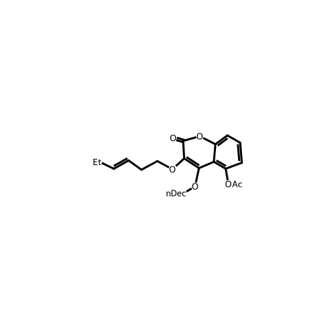 CCC=CCCOc1c(OCCCCCCCCCC)c2c(OC(C)=O)cccc2oc1=O